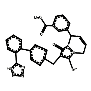 CCCc1c(Cc2ccc(-c3ccccc3-c3nnn[nH]3)cc2)c(=O)n2n1CC=CC2c1cccc(C(=O)OC)c1